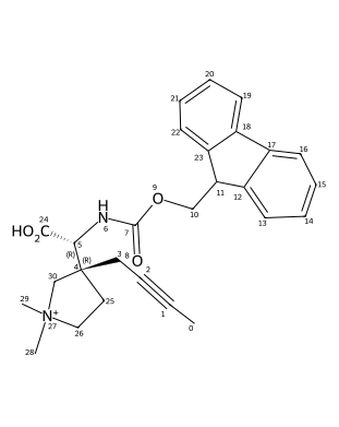 CC#CC[C@@]1([C@@H](NC(=O)OCC2c3ccccc3-c3ccccc32)C(=O)O)CC[N+](C)(C)C1